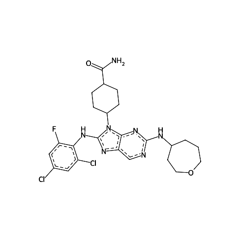 NC(=O)C1CCC(n2c(Nc3c(F)cc(Cl)cc3Cl)nc3cnc(NC4CCCOCC4)nc32)CC1